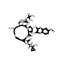 CCOc1ccc2nc(C(F)(F)F)c(O[C@@H]3C[C@H]4C(=O)N[C@]5(C(=O)NS(=O)(=O)C6(C)CC6)CC5/C=C\CC[C@@H](C)C[C@@H](COC)[C@H](NC(=O)OC(C)(C)C(F)(F)F)C(=O)N4C3)nc2c1